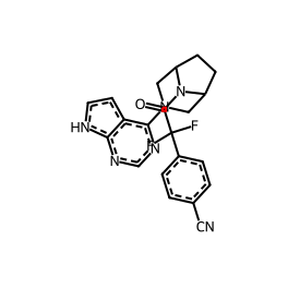 N#Cc1ccc(C(F)(F)C(=O)N2C3CCC2CN(c2ncnc4[nH]ccc24)C3)cc1